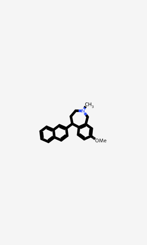 COc1ccc2c(c1)CN(C)CCC2c1ccc2ccccc2c1